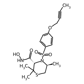 CC#CCOc1ccc(S(=O)(=O)N2[C@@H](C(=O)NO)C(C)(C)SC[C@@H]2C)cc1